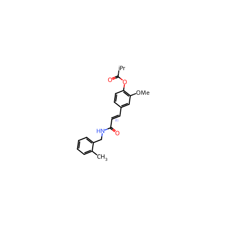 COc1cc(/C=C/C(=O)NCc2ccccc2C)ccc1OC(=O)C(C)C